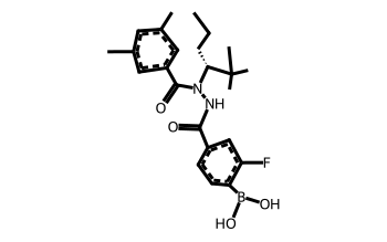 CCC[C@@H](N(NC(=O)c1ccc(B(O)O)c(F)c1)C(=O)c1cc(C)cc(C)c1)C(C)(C)C